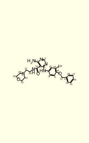 Nc1ncnc(Nc2ccc(OCc3ccccc3)c(I)c2)c1C(=O)NCCN1CCOCC1